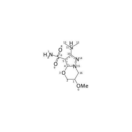 COC1COc2c(S(N)(=O)=O)c([SiH](C)C)nn2C1